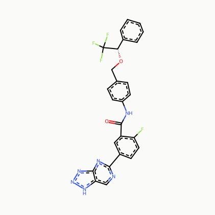 O=C(Nc1ccc(CO[C@@H](c2ccccc2)C(F)(F)F)cc1)c1cc(-c2ncc3[nH]nnc3n2)ccc1F